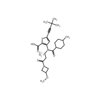 COC1CN(C(=O)C[C@H](C)N(C(=O)C2CCC(C)CC2)c2cc(C#CC(C)(C)C)sc2C(=O)O)C1